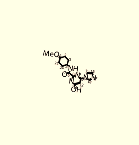 COC1CCC(NC(=O)c2nc(O)cc(-n3ccnc3)n2)CC1